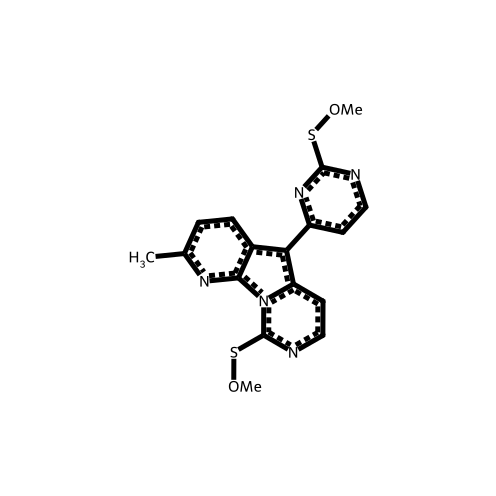 COSc1nccc(-c2c3ccc(C)nc3n3c(SOC)nccc23)n1